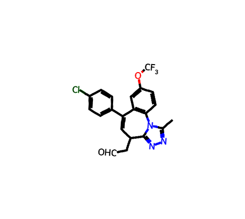 Cc1nnc2n1-c1ccc(OC(F)(F)F)cc1C(c1ccc(Cl)cc1)=CC2CC=O